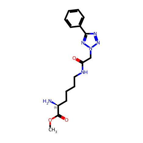 COC(=O)[C@@H](N)CCCCNC(=O)Cn1nnc(-c2ccccc2)n1